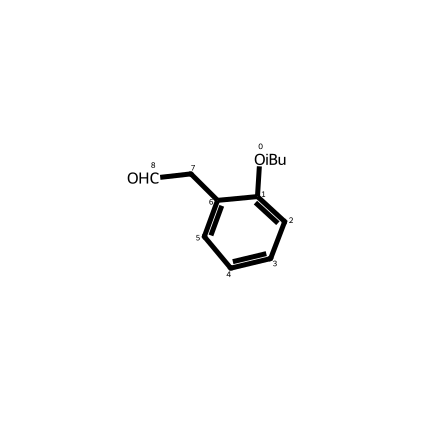 CC(C)COc1ccccc1CC=O